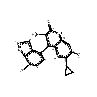 Nc1c(-c2ccc(F)c3[nH]ncc23)c2nc(C3CC3)c(Cl)cc2[nH]c1=O